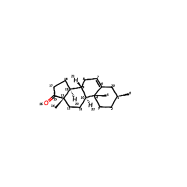 C[C@H]1CC[C@@]2(C)C(=CC[C@@H]3[C@@H]2CC[C@]2(C)C(=O)CC[C@@H]32)C1